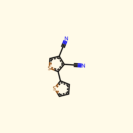 N#Cc1csc(-c2cccs2)c1C#N